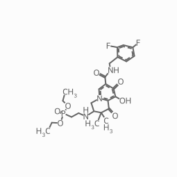 CCOP(=O)(CCNC1Cn2cc(C(=O)NCc3ccc(F)cc3F)c(=O)c(O)c2C(=O)C1(C)C)OCC